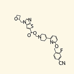 N#Cc1ccc(COc2cccc(C3=CCN(COC(=O)c4cc5c(ncn5CC5CCO5)s4)CC3)n2)c(F)c1